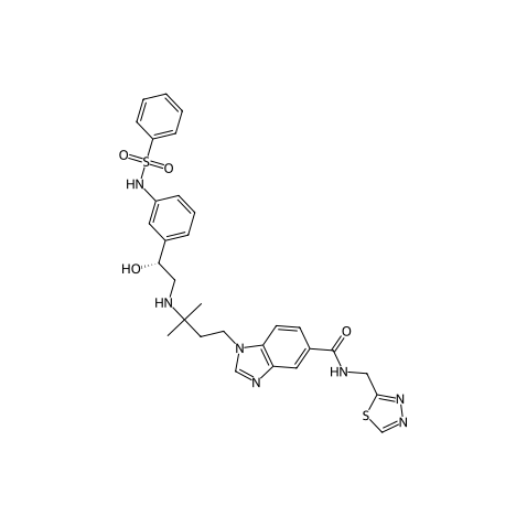 CC(C)(CCn1cnc2cc(C(=O)NCc3nncs3)ccc21)NC[C@H](O)c1cccc(NS(=O)(=O)c2ccccc2)c1